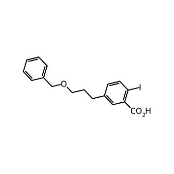 O=C(O)c1cc(CCCOCc2ccccc2)ccc1I